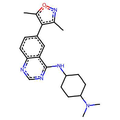 Cc1noc(C)c1-c1ccc2ncnc(NC3CCC(N(C)C)CC3)c2c1